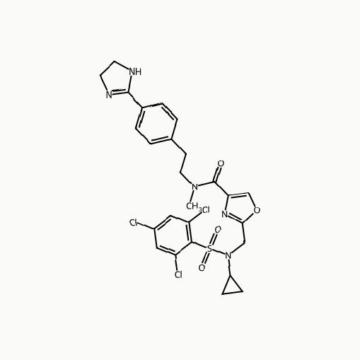 CN(CCc1ccc(C2=NCCN2)cc1)C(=O)c1coc(CN(C2CC2)S(=O)(=O)c2c(Cl)cc(Cl)cc2Cl)n1